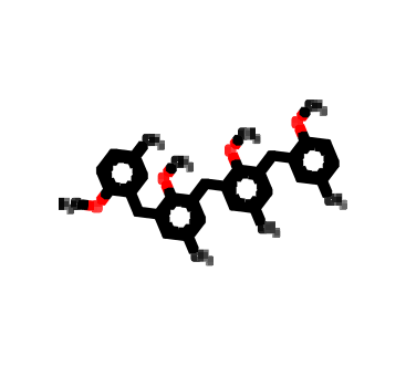 COc1ccc(C)cc1Cc1cc(C)cc(Cc2cc(C)cc(Cc3cc(C)ccc3OC)c2OC)c1OC